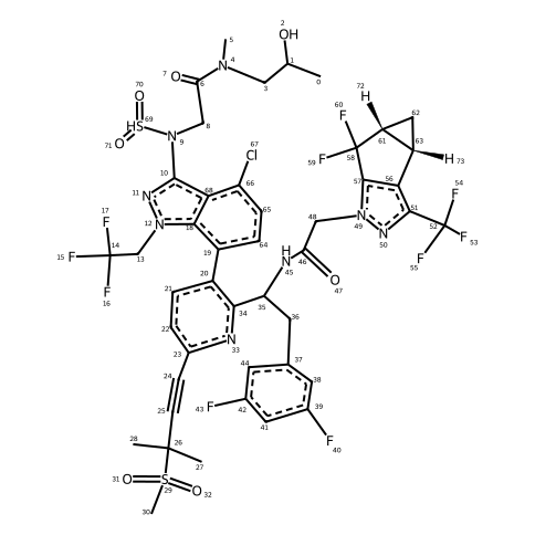 CC(O)CN(C)C(=O)CN(c1nn(CC(F)(F)F)c2c(-c3ccc(C#CC(C)(C)S(C)(=O)=O)nc3C(Cc3cc(F)cc(F)c3)NC(=O)Cn3nc(C(F)(F)F)c4c3C(F)(F)[C@@H]3C[C@H]43)ccc(Cl)c12)[SH](=O)=O